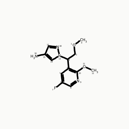 COCC(c1cc(F)cnc1OC)n1cc(N)cn1